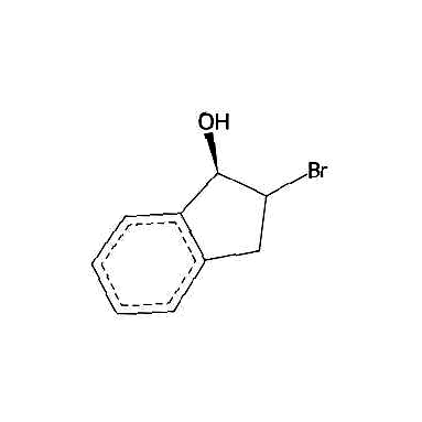 O[C@@H]1c2ccccc2CC1Br